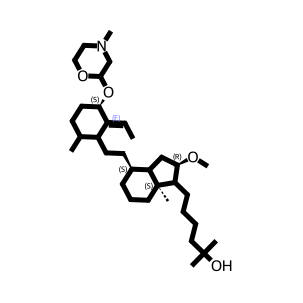 C/C=C1\C(CC[C@@H]2CCC[C@@]3(C)C2C[C@@H](OC)C3CCCCC(C)(C)O)C(C)CC[C@@H]1OC1CN(C)CCO1